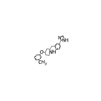 Cc1cccc(OC2CCNC(Cc3cccc(-c4ncc[nH]4)c3)C2)c1